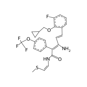 CS/C=C\NC(=O)/C(=C(N)/C=C/c1cccc(F)c1OCC1CC1)c1ccc(OC(F)(F)F)cc1